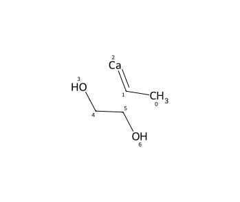 C[CH]=[Ca].OCCO